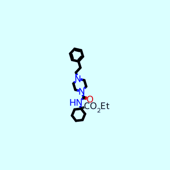 CCOC(=O)C1(NC(=O)N2CCN(CCc3ccccc3)CC2)CCCCC1